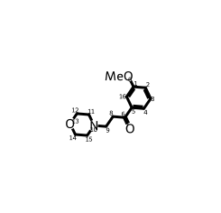 COc1cccc(C(=O)CCN2CCOCC2)c1